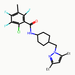 CCc1cc(CC)n(CC2CCC(NC(=O)c3c(F)c(C)c(F)c(F)c3Cl)CC2)n1